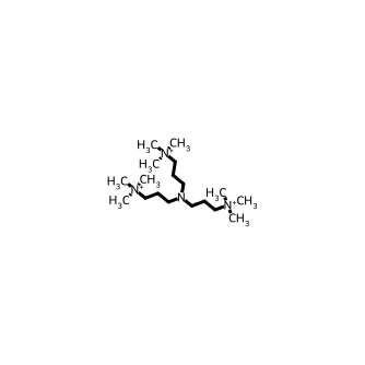 C[N+](C)(C)CCCN(CCC[N+](C)(C)C)CCC[N+](C)(C)C